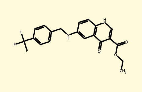 CCOC(=O)c1c[nH]c2ccc(NCc3ccc(C(F)(F)F)cc3)cc2c1=O